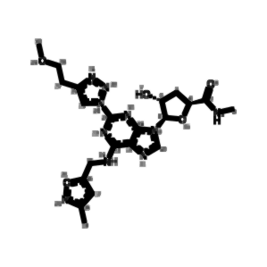 CNC(=O)[C@@H]1C[C@@H](O)[C@H](n2cnc3c(NCc4cc(C)no4)nc(-n4cc(CCOC)nn4)nc32)O1